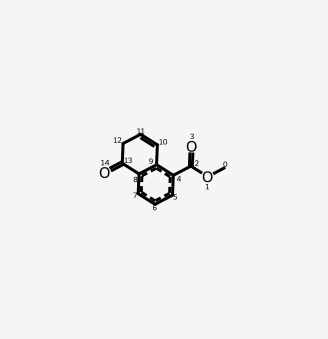 COC(=O)c1cccc2c1C=CCC2=O